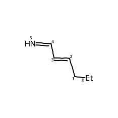 CCCC=CC=N